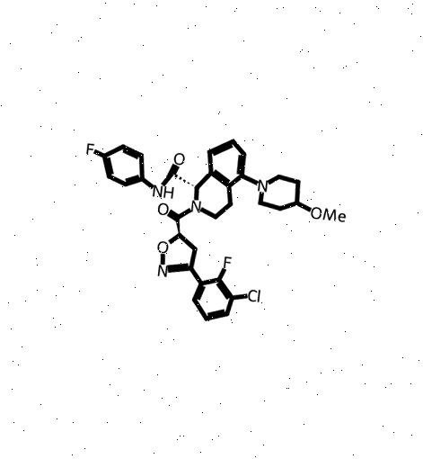 COC1CCN(c2cccc3c2CCN(C(=O)[C@H]2CC(c4cccc(Cl)c4F)=NO2)[C@@H]3C(=O)Nc2ccc(F)cc2)CC1